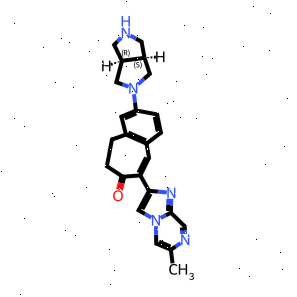 Cc1cn2cc(C3=Cc4ccc(N5C[C@H]6CNC[C@H]6C5)cc4CCC3=O)nc2cn1